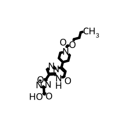 CCCCOC(=O)N1CCC(c2cc(=O)[nH]c3c(-c4nc(C(=O)O)no4)cnn23)CC1